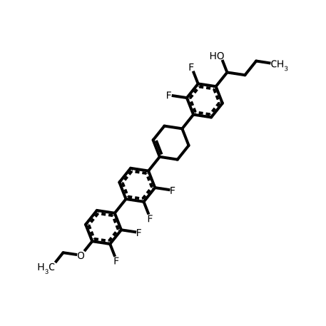 CCCC(O)c1ccc(C2CC=C(c3ccc(-c4ccc(OCC)c(F)c4F)c(F)c3F)CC2)c(F)c1F